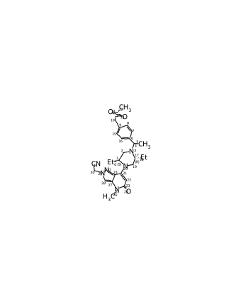 CC[C@H]1CN(C(C)c2ccc(CS(C)(=O)=O)cc2)[C@H](CC)CN1c1cc(=O)n(C)c2cn(CC#N)nc12